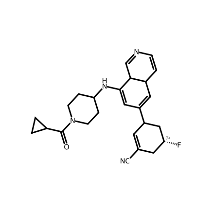 N#CC1=CC(C2=CC3C=CN=CC3C(NC3CCN(C(=O)C4CC4)CC3)=C2)C[C@H](F)C1